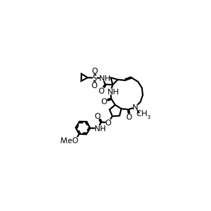 COc1cccc(NC(=O)OC2CC3C(=O)NC4(C(=O)NS(=O)(=O)C5CC5)CC4/C=C/CCCCN(C)C(=O)C3C2)c1